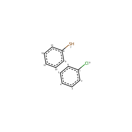 Clc1ccccc1.Sc1ccccc1